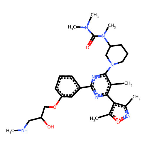 CNCC(O)COc1cccc(-c2nc(-c3c(C)noc3C)c(C)c(N3CCCC(N(C)C(=O)N(C)C)C3)n2)c1